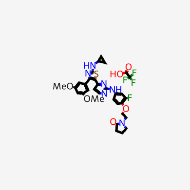 COc1cc(OC)cc(-c2nc(NC3CC3)sc2-c2ccnc(Nc3ccc(OCCN4CCCC4=O)c(F)c3)n2)c1.O=C(O)C(F)(F)F